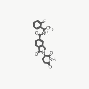 O=C1CCC(N2Cc3cc(C(=O)NC(c4ccccc4F)C(F)(F)F)ccc3C2=O)C(=O)N1